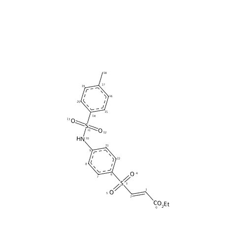 CCOC(=O)C=CS(=O)(=O)c1ccc(NS(=O)(=O)c2ccc(C)cc2)cc1